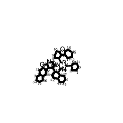 c1ccc(C2=NC(c3cccc4oc5ccccc5c34)NC(c3c(-c4ccnc5oc6cc7ccccc7cc6c45)ccc4ccccc34)=N2)cc1